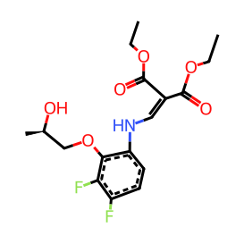 CCOC(=O)C(=CNc1ccc(F)c(F)c1OC[C@@H](C)O)C(=O)OCC